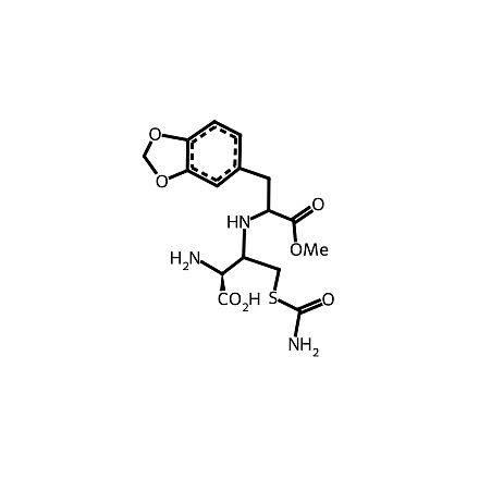 COC(=O)C(Cc1ccc2c(c1)OCO2)NC(CSC(N)=O)[C@H](N)C(=O)O